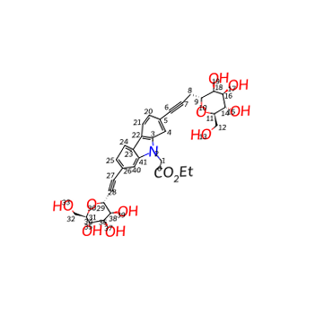 CCOC(=O)Cn1c2cc(C#CC[C@H]3O[C@H](CO)[C@@H](O)[C@H](O)[C@@H]3O)ccc2c2ccc(C#C[C@H]3O[C@H](CO)[C@@H](O)[C@H](O)[C@@H]3O)cc21